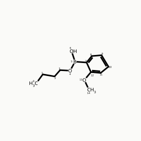 CCCCOB(O)c1ccccc1OC